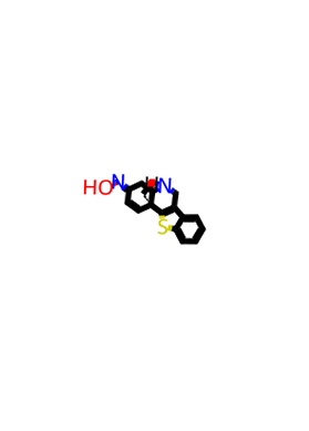 O/N=C1\C=C[C@]23CCN(Cc4c2sc2ccccc42)[C@H]3C1